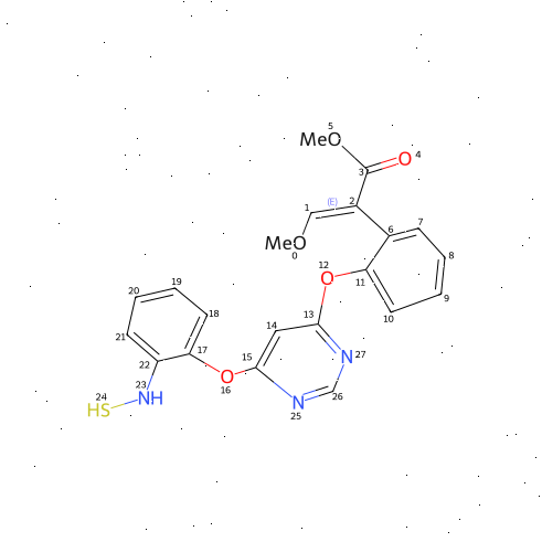 CO/C=C(/C(=O)OC)c1ccccc1Oc1cc(Oc2ccccc2NS)ncn1